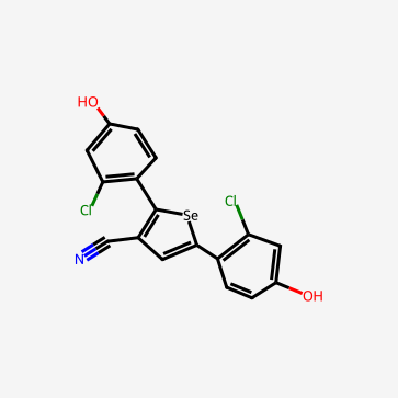 N#Cc1cc(-c2ccc(O)cc2Cl)[se]c1-c1ccc(O)cc1Cl